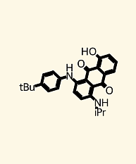 CC(C)Nc1ccc(Nc2ccc(C(C)(C)C)cc2)c2c1C(=O)c1cccc(O)c1C2=O